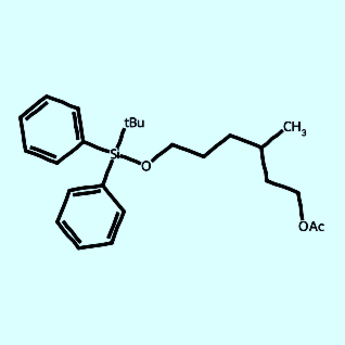 CC(=O)OCCC(C)CCCO[Si](c1ccccc1)(c1ccccc1)C(C)(C)C